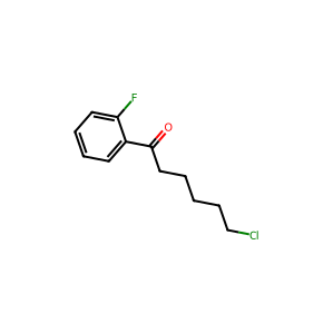 O=C(CCCCCCl)c1ccccc1F